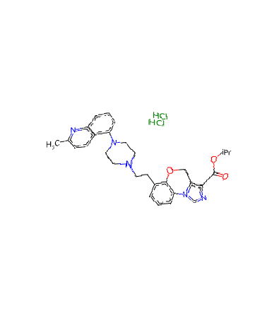 Cc1ccc2c(N3CCN(CCc4cccc5c4OCc4c(C(=O)OC(C)C)ncn4-5)CC3)cccc2n1.Cl.Cl